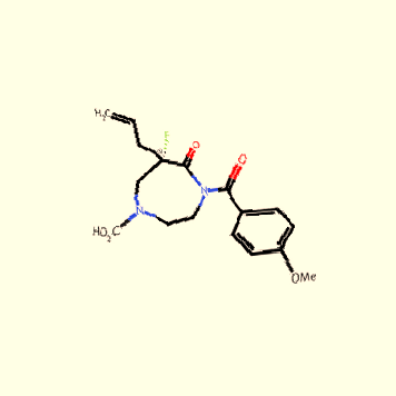 C=CC[C@]1(F)CN(C(=O)O)CCN(C(=O)c2ccc(OC)cc2)C1=O